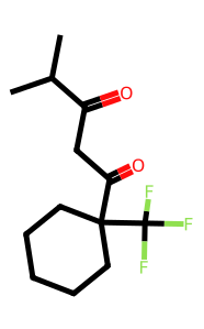 CC(C)C(=O)CC(=O)C1(C(F)(F)F)CCCCC1